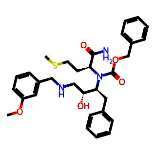 COc1cccc(CNC[C@@H](O)[C@H](Cc2ccccc2)N(C(=O)OCc2ccccc2)[C@@H](CCSC)C(N)=O)c1